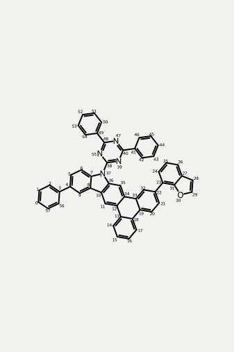 c1ccc(-c2ccc3c(c2)c2cc4c5ccccc5c5ccc(-c6cccc7ccoc67)cc5c4cc2n3-c2nc(-c3ccccc3)nc(-c3ccccc3)n2)cc1